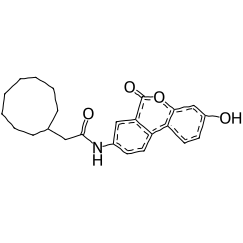 O=C(CC1CCCCCCCC1)Nc1ccc2c(c1)c(=O)oc1cc(O)ccc12